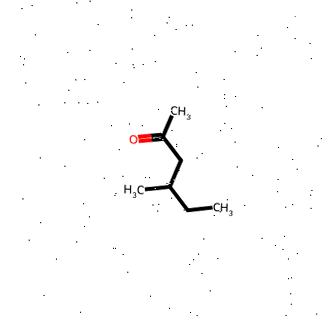 C[CH]C(C)CC(C)=O